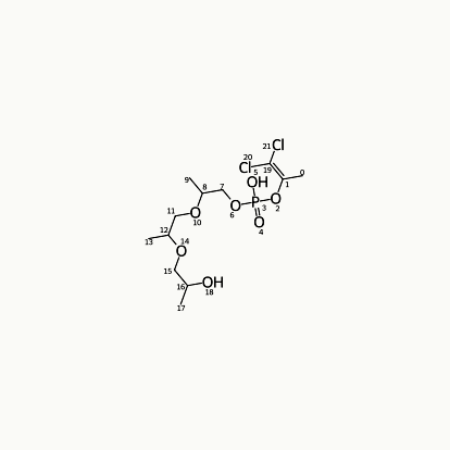 CC(OP(=O)(O)OCC(C)OCC(C)OCC(C)O)=C(Cl)Cl